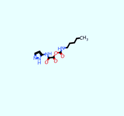 CCCCCNC(=O)OC(=O)C(=O)Nc1ccn[nH]1